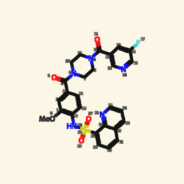 COc1cc(C(=O)N2CCN(C(=O)c3cncc(F)c3)CC2)ccc1NS(=O)(=O)c1cccc2cccnc12